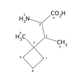 CC(C(N)C(=O)O)C1(C)CCC1